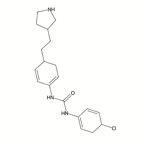 O=C(NC1=CCC(Cl)C=C1)NC1=CCC(CCC2CCNC2)C=C1